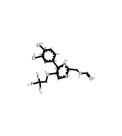 O=COCc1ncc(OCC(F)(F)F)c(-c2ccc(Cl)c(Cl)c2)n1